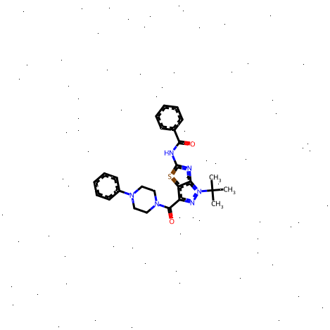 CC(C)(C)n1nc(C(=O)N2CCN(c3ccccc3)CC2)c2sc(NC(=O)c3ccccc3)nc21